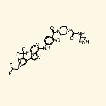 O=C(CN1CCN(C(=O)c2ccc(Nc3nccn4c(-c5cn(CC(F)F)nc5C(F)(F)F)cnc34)cc2Cl)CC1)NC1CNC1